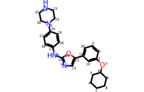 c1cc(OC2CCCCC2)cc(-c2cnc(Nc3ccc(N4CCNCC4)cc3)o2)c1